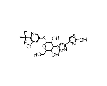 OCC1O[C@H](Sc2cnc(C(F)(F)F)c(Cl)c2)C(O)[C@@H](n2cc(-c3csc(O)n3)nn2)[C@H]1O